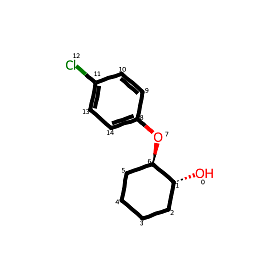 O[C@@H]1CCCC[C@H]1Oc1ccc(Cl)cc1